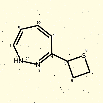 C1=CNN=C(C2CCS2)C=C1